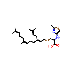 CC(C)=CCCC(C)=CCCC(=CCSCC(Nc1csc(C)n1)C(=O)O)CC=C(C)C